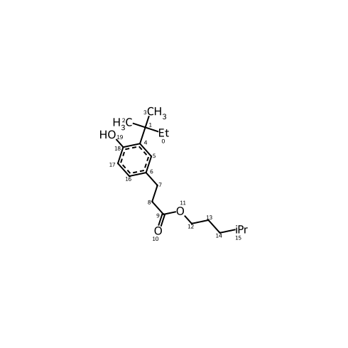 CCC(C)(C)c1cc(CCC(=O)OCCCC(C)C)ccc1O